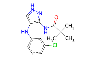 CC(C)(C)C(=O)Nc1n[nH]cc1Nc1cccc(Cl)c1